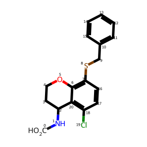 O=C(O)NC1CCOc2c(SCc3ccccc3)ccc(Cl)c21